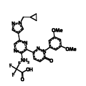 COc1cc(OC)cc(-n2nc(-c3nc(-c4cnn(CC5CC5)c4)cnc3N)ccc2=O)c1.O=C(O)C(F)(F)F